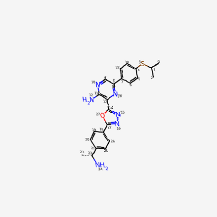 CC(C)Sc1ccc(-c2cnc(N)c(-c3nnc(-c4ccc([C@@H](C)N)cc4)o3)n2)cc1